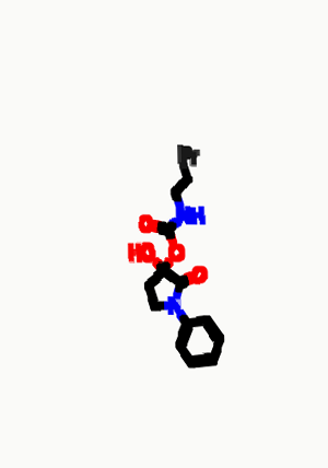 CC(C)CCNC(=O)OC1(O)CCN(c2ccccc2)C1=O